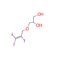 OCC(O)COCC(I)=C(I)I